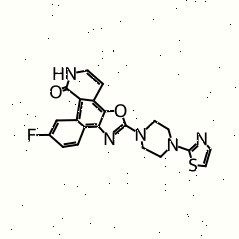 O=c1[nH]ccc2c3oc(N4CCN(c5nccs5)CC4)nc3c3ccc(F)cc3c12